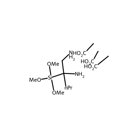 CC(=O)O.CC(=O)O.CC(=O)O.CCCC(N)(CN)[Si](OC)(OC)OC